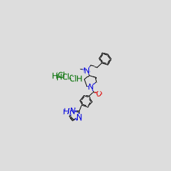 CN(CCc1ccccc1)C1CCN(C(=O)c2ccc(-c3ncc[nH]3)cc2)CC1.Cl.Cl.Cl